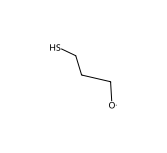 [O]CCCS